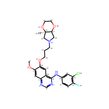 COc1cc2ncnc(Nc3ccc(F)c(Cl)c3)c2cc1OCCCN1CC2OCCO[C@@H]2C1